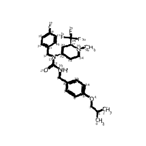 CC(C)COc1ccc(CNC(=O)N(Cc2ccc(F)cc2)[C@@H]2CCN(C)[C@H](C(F)(F)F)C2)cc1